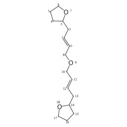 C(=CCC1CCCO1)COCC=CCC1CCCO1